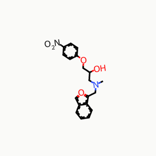 CN(Cc1occ2ccccc12)CC(O)COc1ccc([N+](=O)[O-])cc1